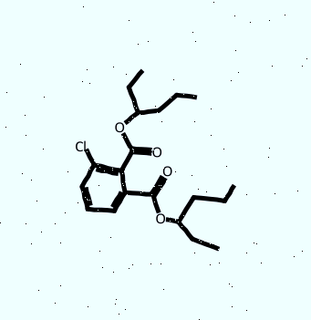 CCCC(CC)OC(=O)c1cccc(Cl)c1C(=O)OC(CC)CCC